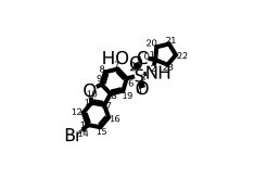 O=C(O)C1(NS(=O)(=O)c2ccc3oc4cc(Br)ccc4c3c2)CCCC1